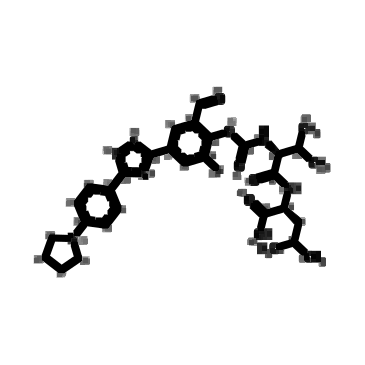 CC(C)C[C@H](NC(=O)[C@@H](NC(=O)Oc1c(F)cc(-c2nc(-c3ccc(N4CCCC4)cc3)ns2)cc1C=O)C(C)C)C(=O)O